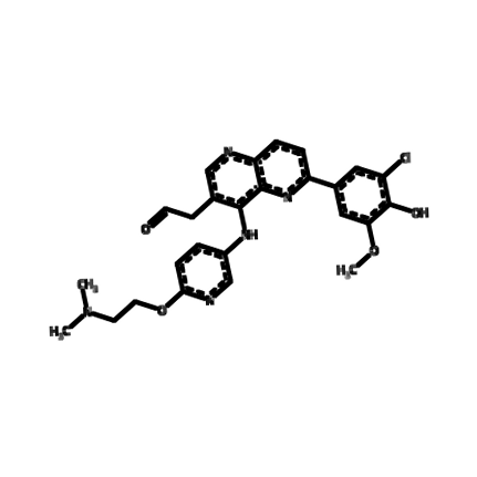 COc1cc(-c2ccc3ncc(CC=O)c(Nc4ccc(OCCN(C)C)nc4)c3n2)cc(Cl)c1O